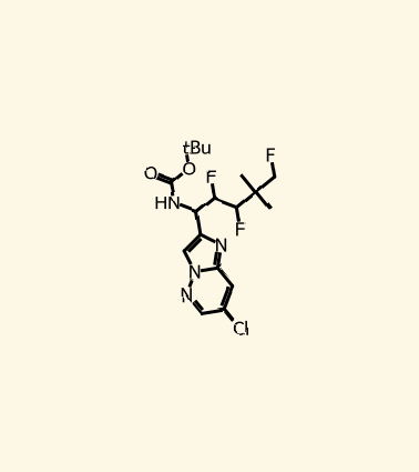 CC(C)(C)OC(=O)NC(c1cn2ncc(Cl)cc2n1)C(F)C(F)C(C)(C)CF